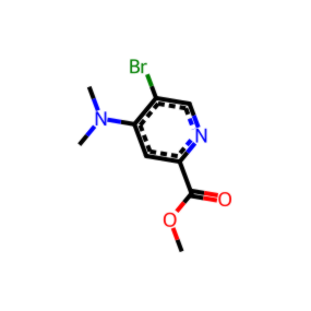 COC(=O)c1cc(N(C)C)c(Br)cn1